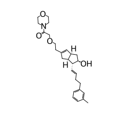 Cc1cccc(CC/C=C/[C@@H]2[C@H]3CC(CCOCC(=O)N4CCOCC4)=C[C@H]3C[C@H]2O)c1